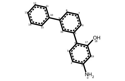 Nc1ccc(-c2cccc(-c3ccccc3)c2)c(O)c1